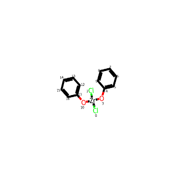 [Cl][Zr]([Cl])([O]c1ccccc1)[O]c1ccccc1